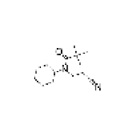 CC(C)(C)C(=O)N(CCC#N)C1CCCCC1